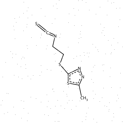 Cc1nnc(SCCN=C=S)s1